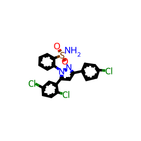 NS(=O)(=O)c1ccccc1-n1nc(-c2ccc(Cl)cc2)cc1-c1cc(Cl)ccc1Cl